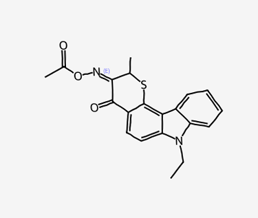 CCn1c2ccccc2c2c3c(ccc21)C(=O)/C(=N\OC(C)=O)C(C)S3